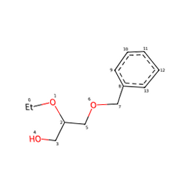 CCOC(CO)COCc1ccccc1